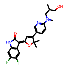 CC(CO)CN(C)c1ccc(C2=C/C(=C3\C(=O)Nc4cc(F)c(F)cc43)OC2(C)C)cn1